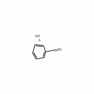 Cl.Cl.Oc1ccccc1.[S]